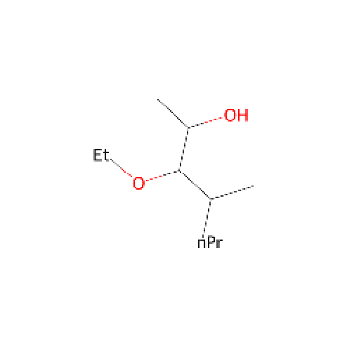 CCCC(C)C(OCC)C(C)O